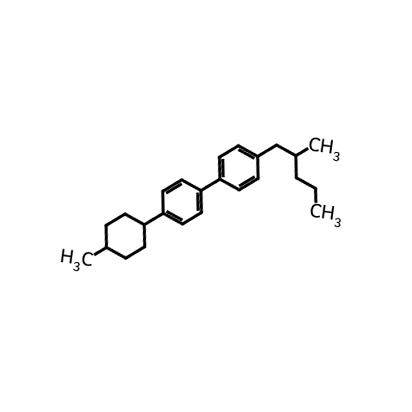 CCCC(C)Cc1ccc(-c2ccc(C3CCC(C)CC3)cc2)cc1